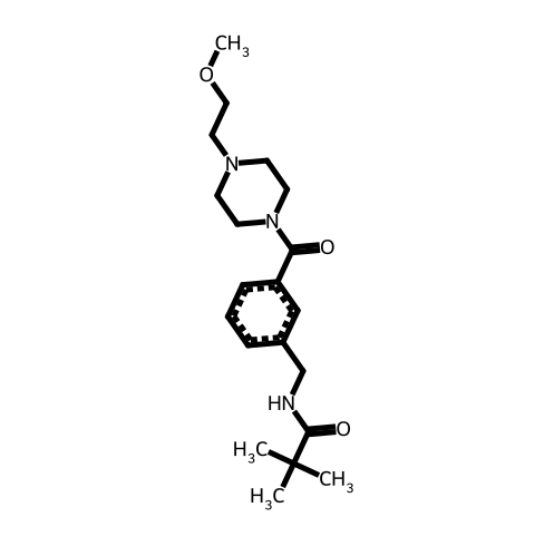 COCCN1CCN(C(=O)c2cccc(CNC(=O)C(C)(C)C)c2)CC1